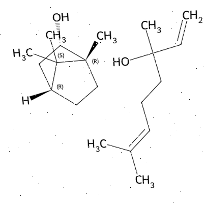 C=CC(C)(O)CCC=C(C)C.CC1(C)[C@@H]2CC[C@@]1(C)[C@@H](O)C2